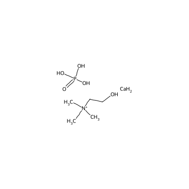 C[N+](C)(C)CCO.O=P(O)(O)O.[CaH2]